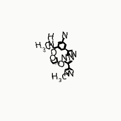 CNC(=O)c1cc(C#N)cc(-c2cnn3cc(-c4cnn(C)c4)c(O[C@H]4CCOC4)nc23)c1